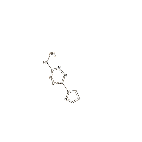 NNc1nnc(-n2cccn2)nn1